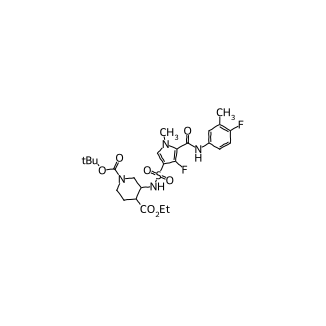 CCOC(=O)C1CCN(C(=O)OC(C)(C)C)CC1NS(=O)(=O)c1cn(C)c(C(=O)Nc2ccc(F)c(C)c2)c1F